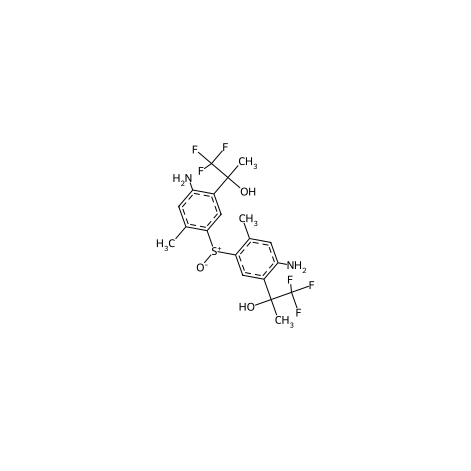 Cc1cc(N)c(C(C)(O)C(F)(F)F)cc1[S+]([O-])c1cc(C(C)(O)C(F)(F)F)c(N)cc1C